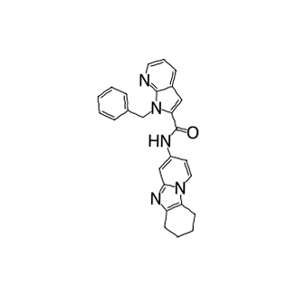 O=C(Nc1ccn2c3c(nc2c1)CCCC3)c1cc2cccnc2n1Cc1ccccc1